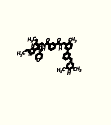 CCc1nc2c(cnn2CC)c(NC2CCOCC2)c1CNC(=O)c1cccc(C(=O)NCc2cc(-c3cccc(CN4C[C@@H](C)N[C@@H](C)C4)c3)ccc2C)c1